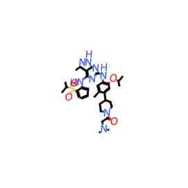 Cc1cc(Nc2nc(Nc3ccccc3S(=O)(=O)C(C)C)c3c(C)n[nH]c3n2)c(OC(C)C)cc1C1CCN(C(=O)CN(C)C)CC1